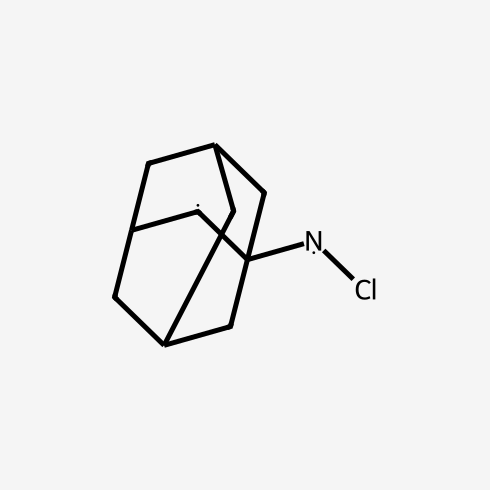 Cl[N]C12[CH]C3CC(CC(C3)C1)C2